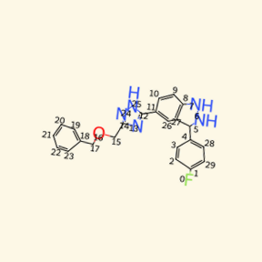 Fc1ccc(C2NNc3ccc(-c4nc(COCc5ccccc5)n[nH]4)cc32)cc1